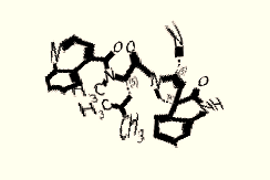 CC(C)C[C@@H](C(=O)N1C[C@]2(C[C@H]1C#N)C(=O)Nc1ccccc12)N(C)C(=O)c1ccnc2ccccc12